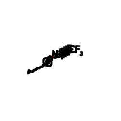 FC(F)(F)C(F)(F)C(F)(F)C(F)(F)C(F)(F)C(F)(F)COc1ccc(-c2ccc3c(c2)OC(CCCCCCCCCC2CC2)O3)cn1